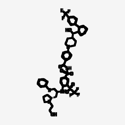 O=C(NS(=O)(=O)c1ccc(NC(CSc2ccccc2)C[C@H]2CCCN2CCO)c(S(=O)(=O)C(F)(F)F)c1)c1ccc(N2CCC(C(O)c3ccccc3-c3ccc(C(F)(F)F)cc3)CC2)cc1